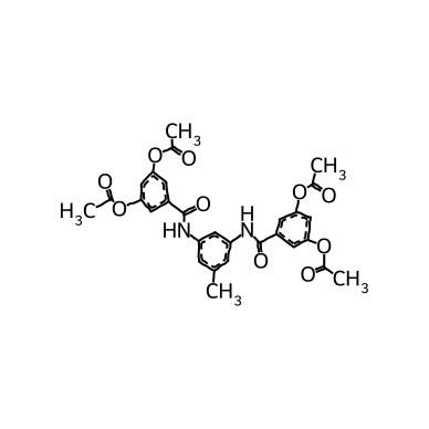 CC(=O)Oc1cc(OC(C)=O)cc(C(=O)Nc2cc(C)cc(NC(=O)c3cc(OC(C)=O)cc(OC(C)=O)c3)c2)c1